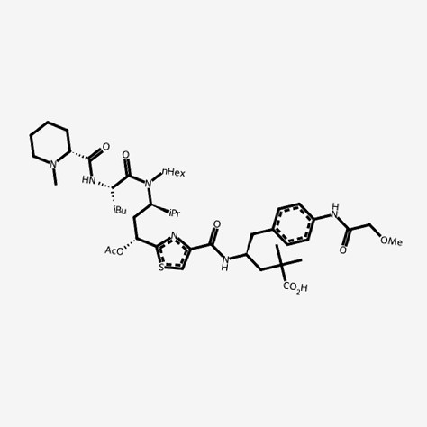 CCCCCCN(C(=O)[C@@H](NC(=O)[C@H]1CCCCN1C)[C@@H](C)CC)[C@H](C[C@@H](OC(C)=O)c1nc(C(=O)N[C@@H](Cc2ccc(NC(=O)COC)cc2)CC(C)(C)C(=O)O)cs1)C(C)C